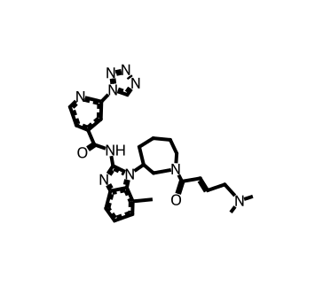 Cc1cccc2nc(NC(=O)c3ccnc(-n4cnnn4)c3)n(C3CCCCN(C(=O)/C=C/CN(C)C)C3)c12